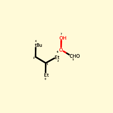 CCC(CC)CC(C)(C)C.O=COO